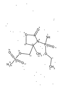 CCOP(=O)(S)N1C(=O)OCC1(C)COS(C)(=O)=O